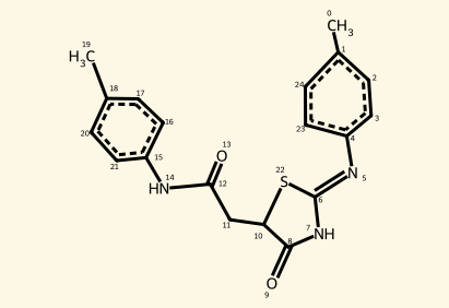 Cc1ccc(/N=C2/NC(=O)C(CC(=O)Nc3ccc(C)cc3)S2)cc1